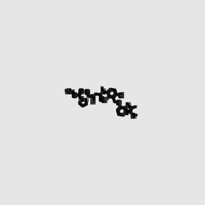 Cc1nc2c(OCc3c(Cl)ccc(N(C)C(=O)CNC(=O)[C@@H]4CCCN4C(=O)OC(C)(C)C)c3Cl)cccn2c1Br